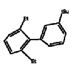 CCc1cccc(CC)c1-c1[c]ccc(C(C)(C)C)c1